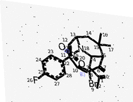 C=C(C)CC1C2C(=C)/C(Br)=C\C=C/C(CC2(C)C)N1S(=O)(=O)c1ccc(F)cc1